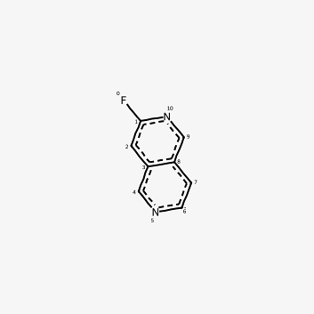 Fc1cc2cn[c]cc2cn1